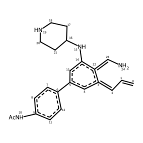 C=C/C=c1/cc(-c2ccc(NC(C)=O)cc2)cc(NC2CCNCC2)/c1=C/N